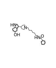 O=C(NCCCCCCCN1CCC(c2c[nH]c3ccc(O)cc23)CC1)c1ccccc1